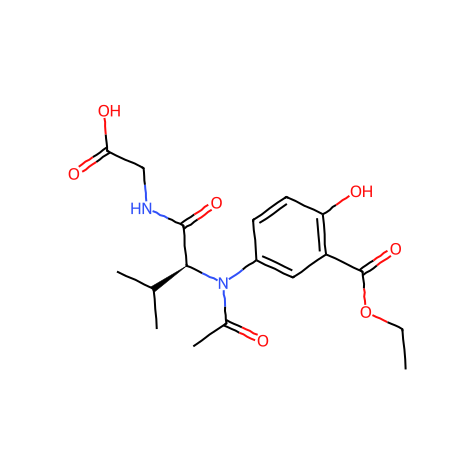 CCOC(=O)c1cc(N(C(C)=O)[C@H](C(=O)NCC(=O)O)C(C)C)ccc1O